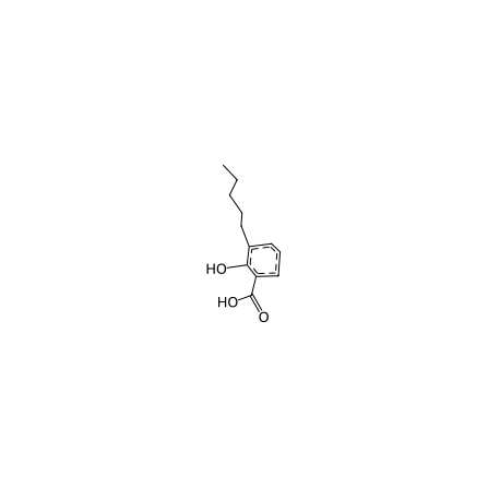 CCCCCc1cccc(C(=O)O)c1O